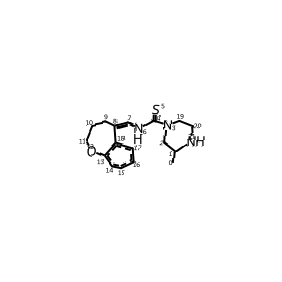 CC1CN(C(=S)N/C=C2/CCCOc3ccccc32)CCN1